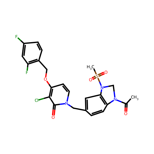 CC(=O)N1CN(S(C)(=O)=O)c2cc(Cn3ccc(OCc4ccc(F)cc4F)c(Cl)c3=O)ccc21